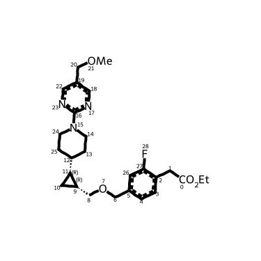 CCOC(=O)Cc1ccc(COC[C@@H]2C[C@@H]2C2CCN(c3ncc(COC)cn3)CC2)cc1F